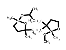 CC(C)O[Si]1(C)CCC(C)(C)O1.CO[Si]1(C)OCCC1(C)C